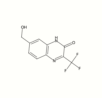 O=c1[nH]c2cc(CO)ccc2nc1C(F)(F)F